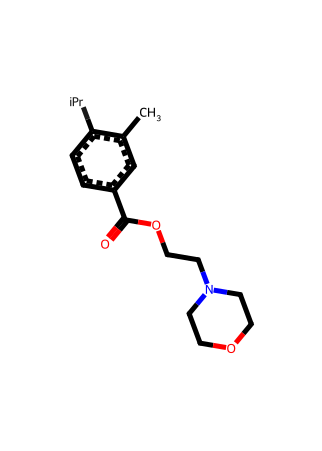 Cc1cc(C(=O)OCCN2CCOCC2)ccc1C(C)C